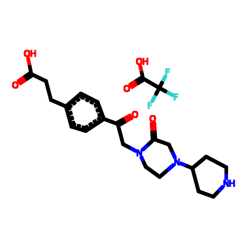 O=C(O)C(F)(F)F.O=C(O)CCc1ccc(C(=O)CN2CCN(C3CCNCC3)CC2=O)cc1